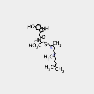 CC(C)=CCC/C(C)=C/CC/C(C)=C/CSCC(NC(=O)Cc1c[nH]c2ccc(O)cc12)C(=O)O